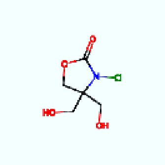 O=C1OCC(CO)(CO)N1Cl